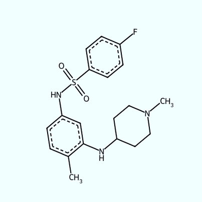 Cc1ccc(NS(=O)(=O)c2ccc(F)cc2)cc1NC1CCN(C)CC1